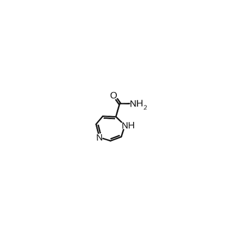 NC(=O)C1=CC=NC=CN1